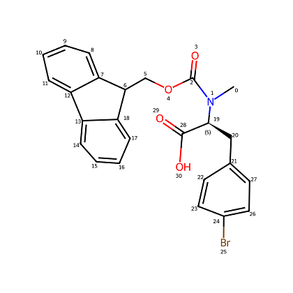 CN(C(=O)OCC1c2ccccc2-c2ccccc21)[C@@H](Cc1ccc(Br)cc1)C(=O)O